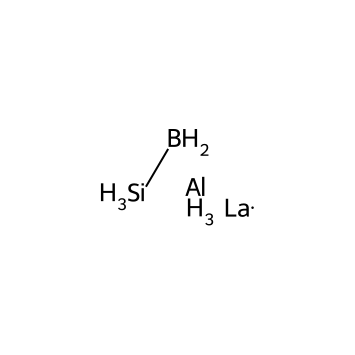 B[SiH3].[AlH3].[La]